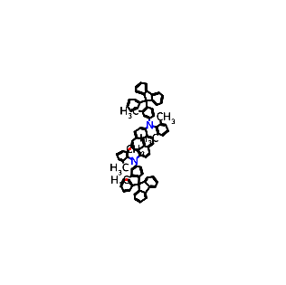 Cc1cc(N(c2c(C)cccc2C)c2ccc3ccc4c(N(c5ccc(C6(c7ccccc7)c7ccccc7-c7ccccc76)c(C)c5)c5c(C)cccc5C)ccc5ccc2c3c54)ccc1C1(c2ccccc2)c2ccccc2-c2ccccc21